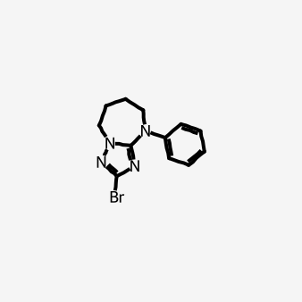 Brc1nc2n(n1)CCCCN2c1ccccc1